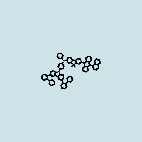 CC1(C)c2cc(-c3c4ccccc4c(-c4cccc5ccccc45)c4ccccc34)ccc2-c2ccc(N(c3ccccc3)c3ccc(-n4c5ccc(-c6ccccc6-c6ccccc6)cc5c5cc(-c6ccccc6-c6ccccc6)ccc54)cc3)cc21